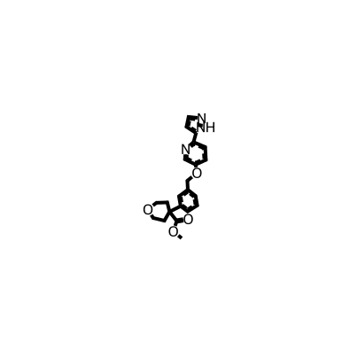 COC(=O)C1(c2cccc(COc3ccc(-c4ccn[nH]4)nc3)c2)CCOCC1